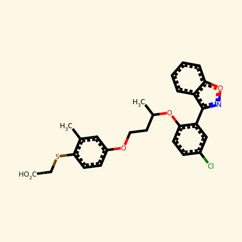 Cc1cc(OCCC(C)Oc2ccc(Cl)cc2-c2noc3ccccc23)ccc1SCC(=O)O